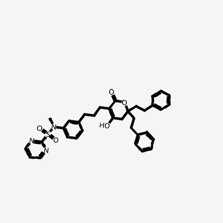 CN(c1cccc(CCCC2=C(O)CC(CCc3ccccc3)(CCc3ccccc3)OC2=O)c1)S(=O)(=O)c1ncccn1